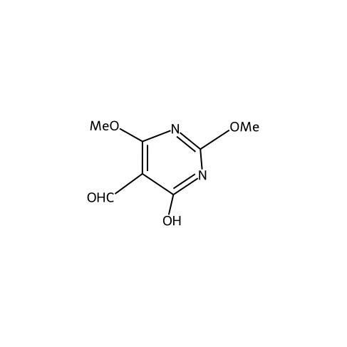 COc1nc(O)c(C=O)c(OC)n1